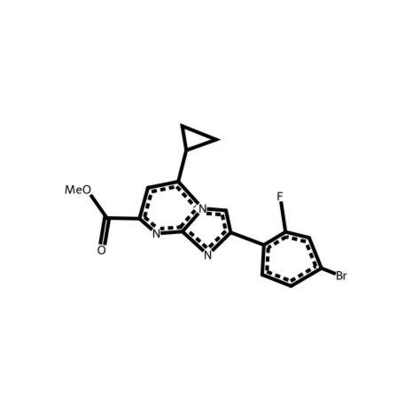 COC(=O)c1cc(C2CC2)n2cc(-c3ccc(Br)cc3F)nc2n1